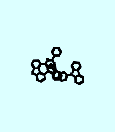 c1ccc(-c2nc(-c3ccccc3)nc(-c3cccc4sc5cccc(-c6cccc7c6sc6ccc(-n8c9ccccc9c9ccccc98)cc67)c5c34)n2)cc1